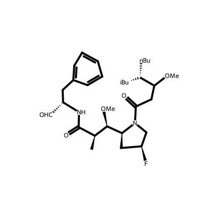 CCCC[C@H](C(CC(=O)N1C[C@@H](F)C[C@H]1[C@H](OC)[C@@H](C)C(=O)N[C@H](C=O)Cc1ccccc1)OC)[C@@H](C)CC